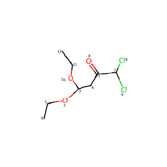 CCOC(CC(=O)C(Cl)Cl)OCC